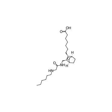 CCCCCCNCC(=O)NC[C@H]1[C@@H](CCCCCCC(=O)O)[C@H]2CC[C@@H]1O2